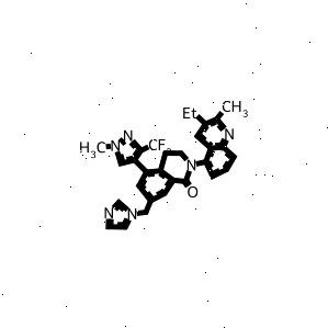 CCc1cc2c(N3CCc4c(cc(Cn5ccnc5)cc4-c4cn(C)nc4C(F)(F)F)C3=O)cccc2nc1C